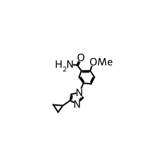 COc1ccc(-n2cnc(C3CC3)c2)cc1C(N)=O